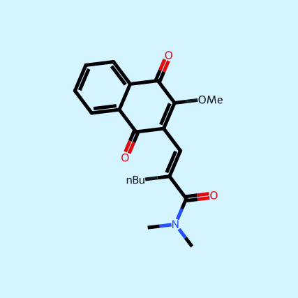 CCCCC(=CC1=C(OC)C(=O)c2ccccc2C1=O)C(=O)N(C)C